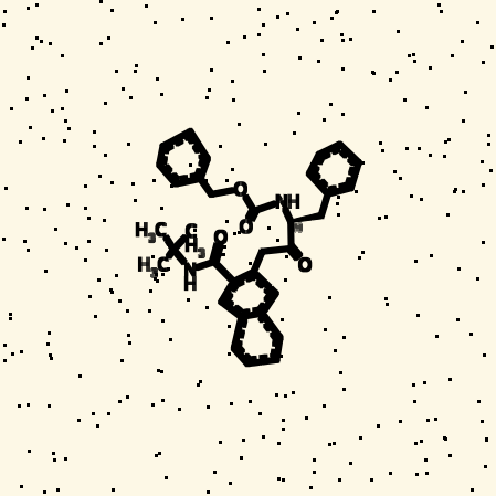 CC(C)(C)NC(=O)c1cc2ccccc2cc1CC(=O)[C@H](Cc1ccccc1)NC(=O)OCc1ccccc1